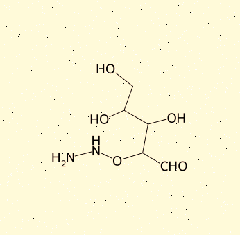 NNOC(C=O)C(O)C(O)CO